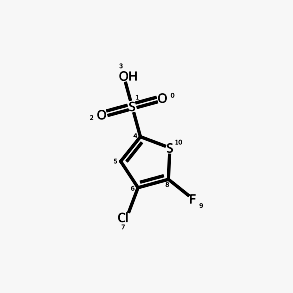 O=S(=O)(O)c1cc(Cl)c(F)s1